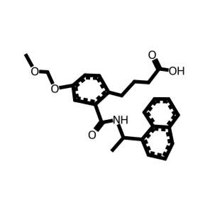 COCOc1ccc(CCCC(=O)O)c(C(=O)NC(C)c2cccc3ccccc23)c1